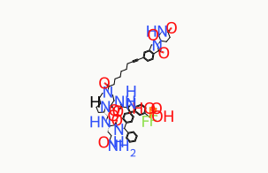 NC(=O)CC[C@H](NC(=O)[C@@H]1CC[C@@H]2CCN(C(=O)CCCCCCC#Cc3ccc4c(c3)CN(C3CCC(=O)NC3=O)C4=O)C[C@H](NC(=O)c3cc4cc(C(F)(F)P(=O)(O)O)ccc4[nH]3)C(=O)N21)C(=O)NC(c1ccccc1)c1ccccc1